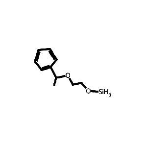 CC(OCCO[SiH3])c1ccccc1